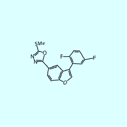 CSc1nnc(-c2ccc3occ(-c4cc(F)ccc4F)c3c2)o1